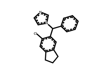 Clc1cc2c(cc1C(c1ccccc1)n1ccnc1)CCC2